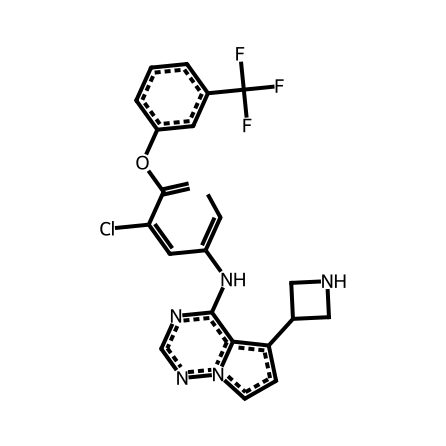 C=C(Oc1cccc(C(F)(F)F)c1)/C(Cl)=C\C(=C/C)Nc1ncnn2ccc(C3CNC3)c12